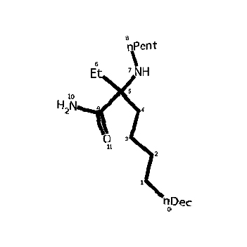 CCCCCCCCCCCCCCC(CC)(NCCCCC)C(N)=O